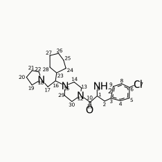 NC(Cc1ccc(Cl)cc1)C(=O)N1CCN(C(CN2CCCC2)C2CCCCC2)CC1